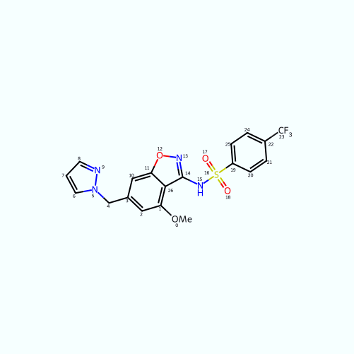 COc1cc(Cn2cccn2)cc2onc(NS(=O)(=O)c3ccc(C(F)(F)F)cc3)c12